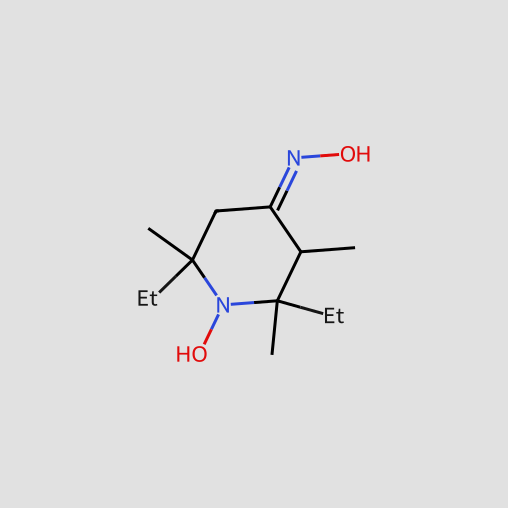 CCC1(C)CC(=NO)C(C)C(C)(CC)N1O